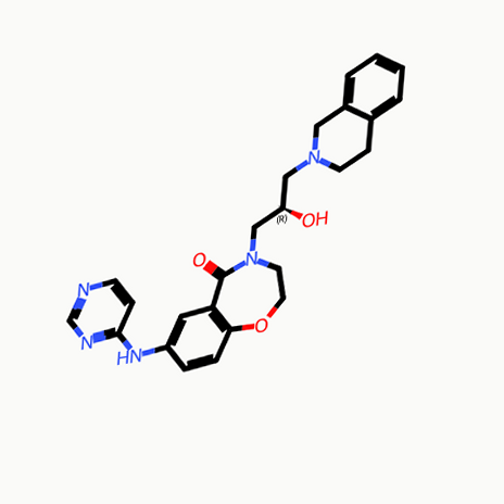 O=C1c2cc(Nc3ccncn3)ccc2OCCN1C[C@H](O)CN1CCc2ccccc2C1